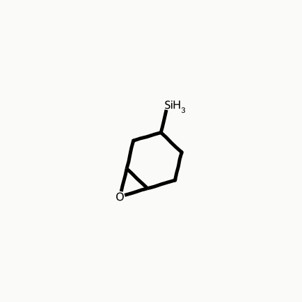 [SiH3]C1CCC2OC2C1